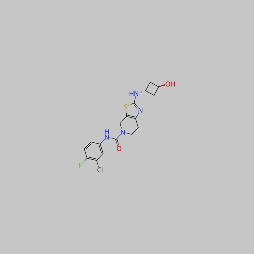 O=C(Nc1ccc(F)c(Cl)c1)N1CCc2nc(N[C@H]3C[C@H](O)C3)sc2C1